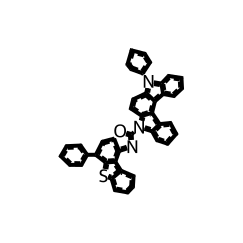 c1ccc(-c2cc3oc(-n4c5ccccc5c5c6c7ccccc7n(-c7ccccc7)c6ccc54)nc3c3c2sc2ccccc23)cc1